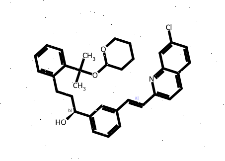 CC(C)(OC1CCCCO1)c1ccccc1CC[C@H](O)c1cccc(/C=C/c2ccc3ccc(Cl)cc3n2)c1